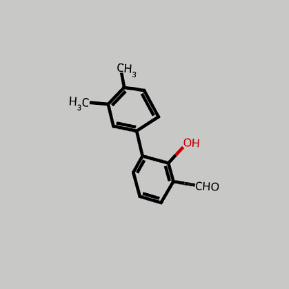 Cc1ccc(-c2cccc(C=O)c2O)cc1C